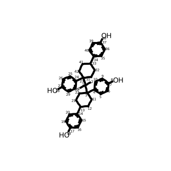 CC(C)(C1(c2ccc(O)cc2)CCC(c2ccc(O)cc2)CC1)C1(c2ccc(O)cc2)CCC(c2ccc(O)cc2)CC1